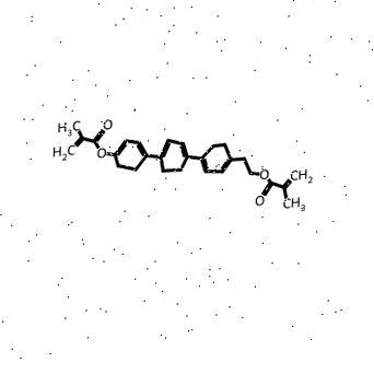 C=C(C)C(=O)OCCC1=CC=C(C2=CC=C(C3=CC=C(OC(=O)C(=C)C)CC3)CC2)CC1